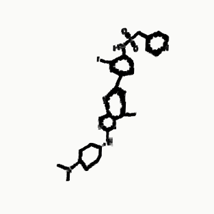 Cc1cc(-c2ccc(NS(=O)(=O)Cc3ccncc3)c(F)c2)nc2cnc(N[C@H]3CC[C@H](N(C)C)CC3)nc12